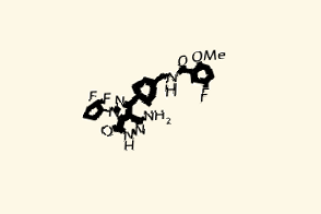 COc1ccc(F)cc1C(=O)NCc1ccc(-c2nn([C@H]3CCCC3(F)F)c3c(=O)[nH]nc(N)c23)cc1